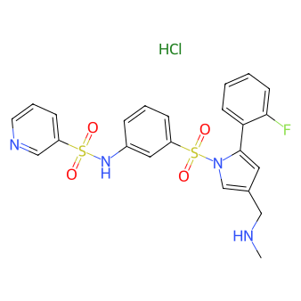 CNCc1cc(-c2ccccc2F)n(S(=O)(=O)c2cccc(NS(=O)(=O)c3cccnc3)c2)c1.Cl